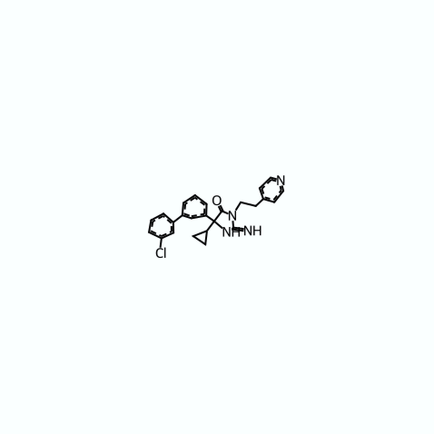 N=C1NC(c2cccc(-c3cccc(Cl)c3)c2)(C2CC2)C(=O)N1CCc1ccncc1